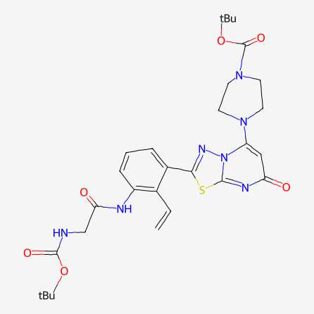 C=Cc1c(NC(=O)CNC(=O)OC(C)(C)C)cccc1-c1nn2c(N3CCN(C(=O)OC(C)(C)C)CC3)cc(=O)nc2s1